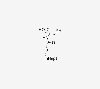 CCCCCCCCCCC(=O)NC(CS)C(=O)O